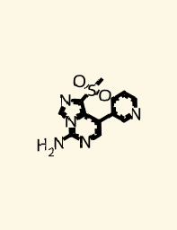 CS(=O)(=O)c1ncn2c(N)ncc(-c3cccnc3)c12